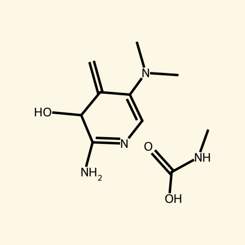 C=C1C(N(C)C)=CN=C(N)C1O.CNC(=O)O